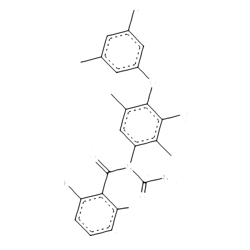 Cc1cc(C)cc(Oc2c(C)cc(N(C(N)=O)C(=O)c3c(F)cccc3F)c(C)c2Cl)c1